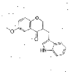 COc1ccc2c(c1)C(=O)C(Cc1c[nH]c3ccccc13)CO2